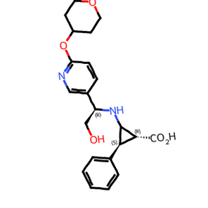 O=C(O)[C@H]1C(N[C@@H](CO)c2ccc(OC3CCOCC3)nc2)[C@@H]1c1ccccc1